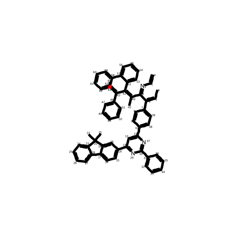 C=C/N=C(C(=C/C)\c1ccc(-c2cc(-c3ccc4c(c3)C(C)(C)c3ccccc3-4)nc(-c3ccccc3)n2)cc1)/C(C)=C(/C(=C\C)c1ccccc1)c1ccccc1-c1ccccc1